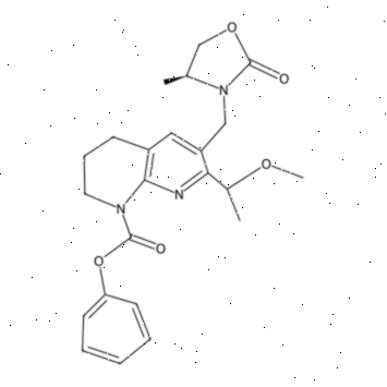 COC(C)c1nc2c(cc1CN1C(=O)OC[C@@H]1C)CCCN2C(=O)Oc1ccccc1